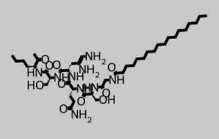 CCCCCCCCCCCCCCCCCC(=O)NCC(=O)N[C@@H](CO)C(=O)N[C@H](CCC(N)=O)C(=O)N[C@@H](C/C(N)=C/N)C(=O)N[C@@H](CO)C(=O)N[C@@H](CCCC)C(C)=O